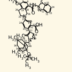 COc1ccc(C(=O)Nc2nc3ccccc3s2)c2c1CCN(c1ccc(-c3cnn(CC45CC6(C)CC(C)(C4)CC(OC(C)(C)C)(C6)C5)c3C)c(C(=O)O)n1)C2